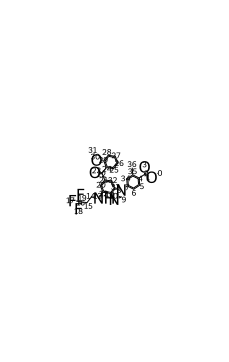 COC(=O)c1ccc(-n2cnc3c(NCCC(F)(F)F)cc(C(=O)c4ccccc4OC)cc32)cc1C